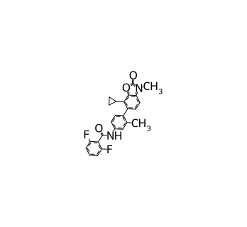 Cc1cc(NC(=O)c2c(F)cccc2F)ccc1-c1ccc2c(oc(=O)n2C)c1C1CC1